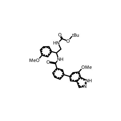 COc1cccc(C(CNC(=O)OC(C)(C)C)NC(=O)c2cccc(-c3cc(OC)c4[nH]ncc4c3)c2)c1